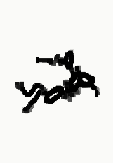 COc1cccc(-c2cc(NC(=O)Nc3ccc(N(CCCl)CCCl)cc3)c3cc(F)ccc3n2)c1